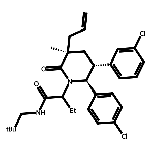 C=CC[C@@]1(C)C[C@H](c2cccc(Cl)c2)[C@@H](c2ccc(Cl)cc2)N(C(CC)C(=O)NCC(C)(C)C)C1=O